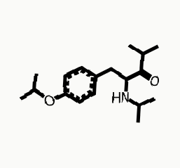 CC(C)NC(Cc1ccc(OC(C)C)cc1)C(=O)C(C)C